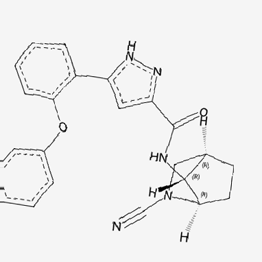 N#CN1C[C@H]2CC[C@@H]1[C@@H]2NC(=O)c1cc(-c2ccccc2Oc2ccccc2)[nH]n1